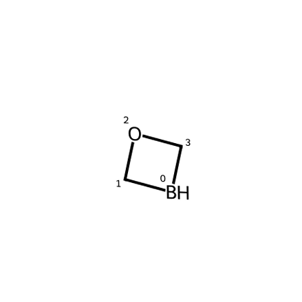 B1COC1